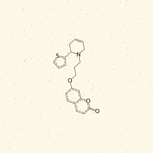 O=c1ccc2ccc(OCCCN3CC=CCC3c3cccs3)cc2o1